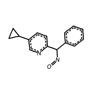 O=NC(c1ccccc1)c1ccc(C2CC2)cn1